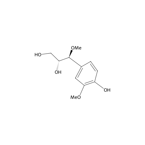 COc1cc([C@H](OC)[C@H](O)CO)ccc1O